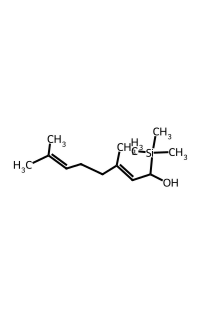 CC(C)=CCC/C(C)=C/C(O)[Si](C)(C)C